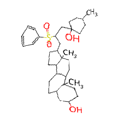 CC1CCC(O)(CC(CC2CCC3C4CCC5CC(O)CCC5(C)C4CCC23C)S(=O)(=O)c2ccccc2)CC1